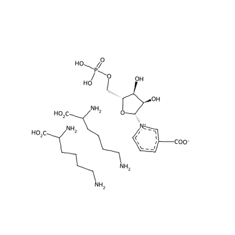 NCCCCC(N)C(=O)O.NCCCCC(N)C(=O)O.O=C([O-])c1ccc[n+]([C@@H]2O[C@H](COP(=O)(O)O)[C@@H](O)[C@H]2O)c1